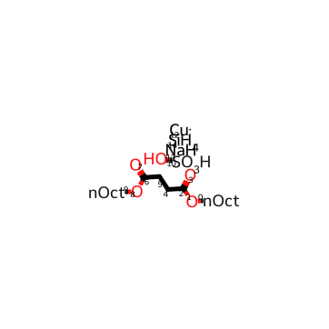 CCCCCCCCOC(=O)CCC(=O)OCCCCCCCC.O=S(=O)(O)O.[Cu].[NaH].[SiH4]